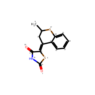 CC1CC(=C2SC(=O)NC2=O)c2ccccc2S1